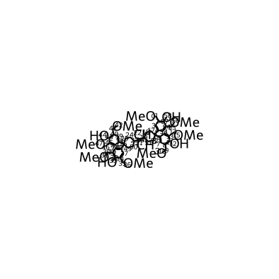 COCc1cc(C2(c3cc(COC)c(O)c(COC)c3)CCC(C(C)(C)C3CCC(c4cc(COC)c(O)c(COC)c4)(c4cc(COC)c(O)c(COC)c4)CC3)CC2)cc(COC)c1O